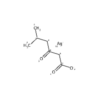 CC(C)CC(=O)CC(=O)[O-].[Ag+]